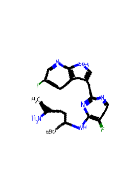 C=C(N)CC(Nc1nc(-c2c[nH]c3ncc(F)cc23)ncc1F)C(C)(C)C